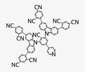 N#Cc1ccc(-c2ccc3c(c2)c2cc(-c4ccc(C#N)cc4C#N)ccc2n3-c2cc(-c3ccncc3)cc(-n3c4ccc(-c5ccc(C#N)cc5C#N)cc4c4cc(-c5ccc(C#N)cc5C#N)ccc43)c2C#N)c(C#N)c1